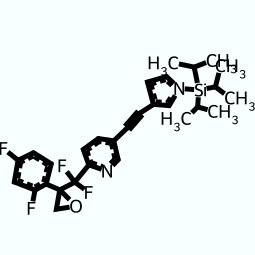 CC(C)[Si](C(C)C)(C(C)C)n1ccc(C#Cc2ccc(C(F)(F)C3(c4ccc(F)cc4F)CO3)nc2)c1